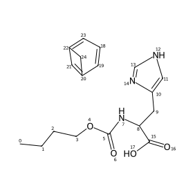 CCCCOC(=O)NC(Cc1c[nH]cn1)C(=O)O.c1cc2cc(c1)C2